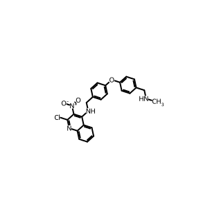 CNCc1ccc(Oc2ccc(CNc3c([N+](=O)[O-])c(Cl)nc4ccccc34)cc2)cc1